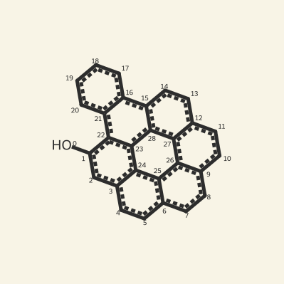 Oc1cc2ccc3ccc4ccc5ccc6c7ccccc7c1c1c2c3c4c5c61